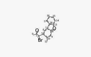 CC(=O)C(Br)c1cc2c(cc1C)oc1ccccc12